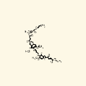 CCOC(=O)CCC(=O)c1cc2c(F)c(OCCCOc3c(OC)cc4c(c3F)CN(C(=O)CCC(=O)O[C@@H](C)CNC(=O)CCOCCN)C4)c(OC)cc2s1.Cl